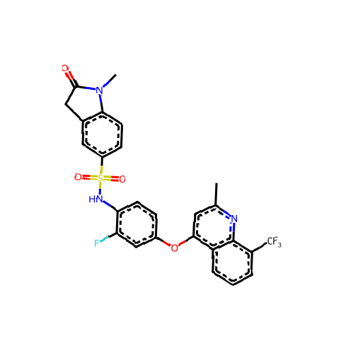 Cc1cc(Oc2ccc(NS(=O)(=O)c3ccc4c(c3)CC(=O)N4C)c(F)c2)c2cccc(C(F)(F)F)c2n1